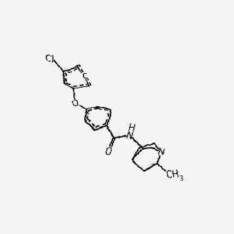 CC1CC2CCN1CC2NC(=O)c1ccc(Oc2cccc(Cl)c2)cc1